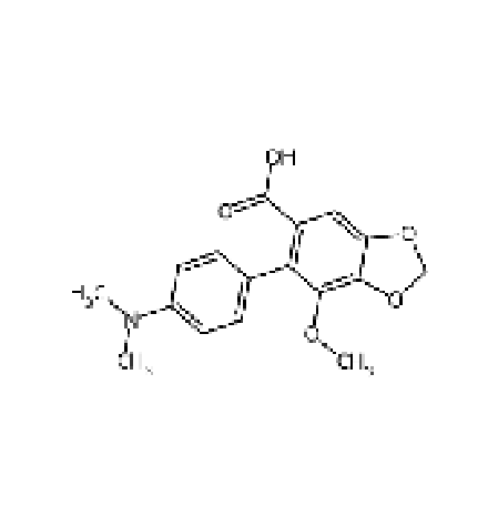 COc1c2c(cc(C(=O)O)c1-c1ccc(N(C)C)cc1)OCO2